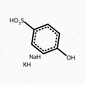 O=S(=O)(O)c1ccc(O)cc1.[KH].[NaH]